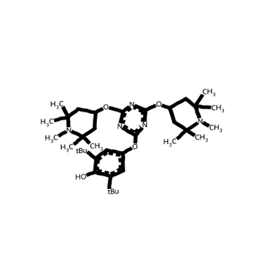 CN1C(C)(C)CC(Oc2nc(Oc3cc(C(C)(C)C)c(O)c(C(C)(C)C)c3)nc(OC3CC(C)(C)N(C)C(C)(C)C3)n2)CC1(C)C